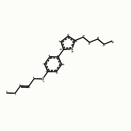 CCC=CCOc1ccc(-c2ccc(CCCCC)s2)cc1